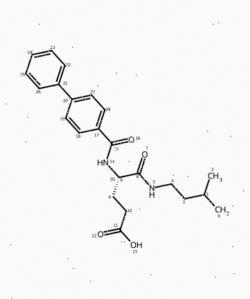 CC(C)CCNC(=O)[C@H](CCC(=O)O)NC(=O)c1ccc(-c2ccccc2)cc1